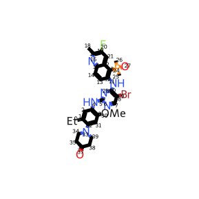 CCc1cc(Nc2ncc(Br)c(Nc3ccc4nc(C)c(F)cc4c3P(C)(C)=O)n2)c(OC)cc1N1CCC(=O)CC1